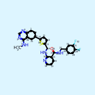 CNc1ncnc2ccc(-c3ccc(CNc4ncccc4C(=O)NCc4ccc(F)c(F)c4)s3)cc12